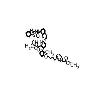 CCOC(=O)CN1CCC[C@H](CCCCOc2cccc(-c3ccc(N4CCc5cccc(C(=O)Nc6nc7ccccc7s6)c5C4)nc3C(=O)OC(C)(C)C)c2C)C1